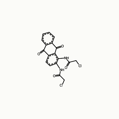 O=C(CCl)Nc1ccc2c(c1NC(=O)CCl)C(=O)c1ccccc1C2=O